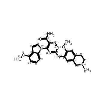 COc1cc2c(cc1Nc1nnc(C(N)=O)c(-n3ccc4c(OC)cccc43)n1)CN(C)CC2